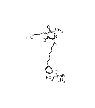 CCCC(C)(Oc1cccc(CCCCCOc2nn(C)c(=O)n(CCCC(F)(F)F)c2=O)c1)C(=O)O